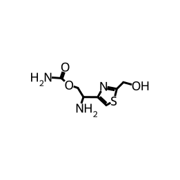 NC(=O)OCC(N)c1csc(CO)n1